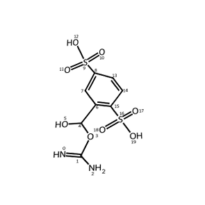 N=C(N)OC(O)c1cc(S(=O)(=O)O)ccc1S(=O)(=O)O